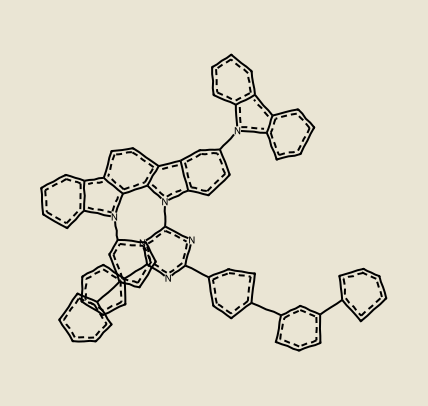 c1ccc(-c2cccc(-c3ccc(-c4nc(-c5ccccc5)nc(-n5c6ccc(-n7c8ccccc8c8ccccc87)cc6c6ccc7c8ccccc8n(-c8cccc(-c9ccccc9)c8)c7c65)n4)cc3)c2)cc1